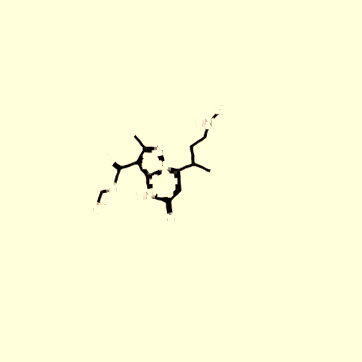 CCNCCC(C)c1cc(=O)[nH]c2c(C(=O)OCC(F)(F)F)c(C)nn12